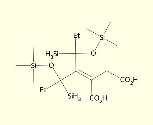 CCC([SiH3])(O[Si](C)(C)C)C(=C(CC(=O)O)C(=O)O)C([SiH3])(CC)O[Si](C)(C)C